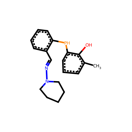 Cc1cccc(Pc2ccccc2/C=N/N2CCCCC2)c1O